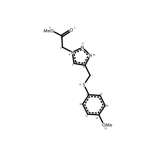 COC(=O)Cn1cc(CSc2ccc(OC)cc2)nn1